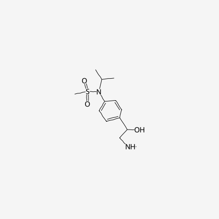 CC(C)N(c1ccc(C(O)C[NH])cc1)S(C)(=O)=O